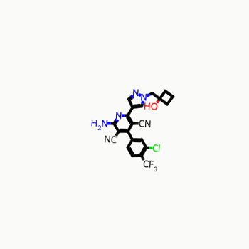 N#Cc1c(N)nc(-c2cnn(CC3(O)CCC3)c2)c(C#N)c1-c1ccc(C(F)(F)F)c(Cl)c1